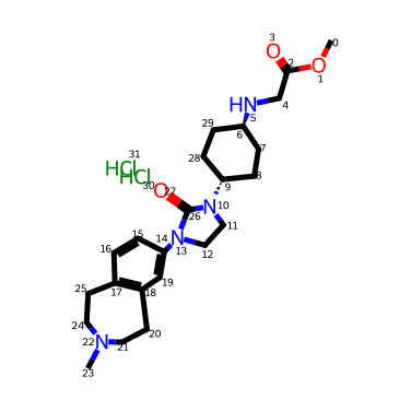 COC(=O)CN[C@H]1CC[C@H](N2CCN(c3ccc4c(c3)CCN(C)CC4)C2=O)CC1.Cl.Cl